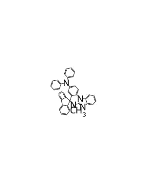 CN1c2nc3ccccc3n2-c2ccc(N(c3ccccc3)c3ccccc3)cc2C12c1ccccc1-c1ccccc12